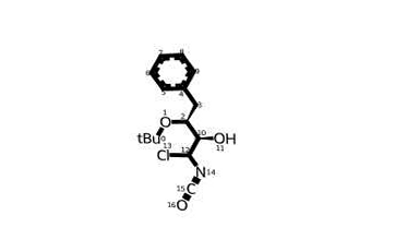 CC(C)(C)O[C@@H](Cc1ccccc1)[C@@H](O)C(Cl)N=C=O